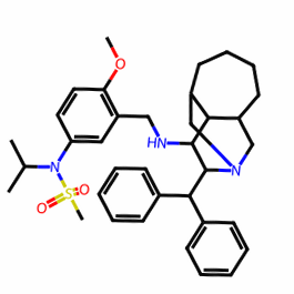 COc1ccc(N(C(C)C)S(C)(=O)=O)cc1CNC1C2C3CCCCC2CN(C3)C1C(c1ccccc1)c1ccccc1